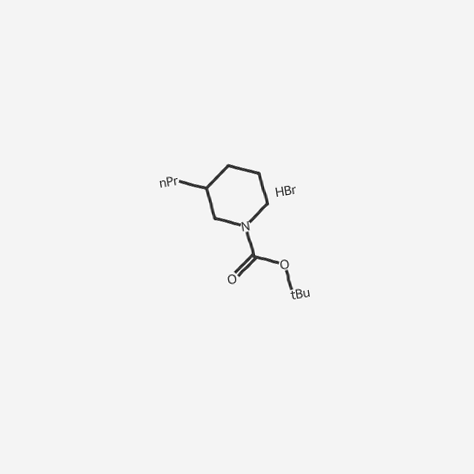 Br.CCCC1CCCN(C(=O)OC(C)(C)C)C1